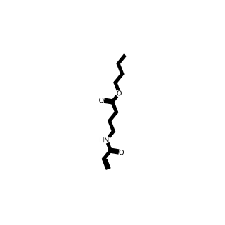 C=CC(=O)NCCCC(=O)OCCCC